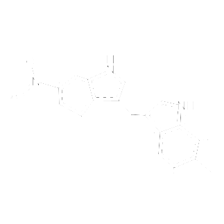 Cc1ccc2c(Cc3c[nH]c4cc([N+](=O)[O-])ccc34)c[nH]c2c1